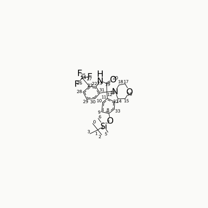 CC(C)(C)[Si](C)(C)Oc1ccc(C2(N3CCOCC3)C(=O)Nc3c(C(F)(F)F)cccc32)cc1